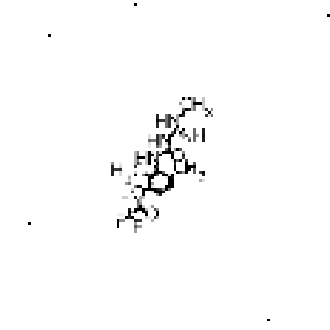 CCNC(=N)NC(=O)Nc1c(C)ccc(OC(=O)C(F)(F)F)c1C